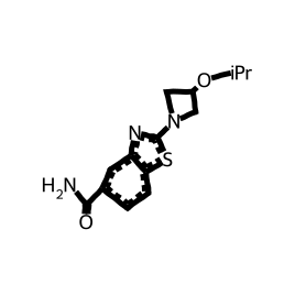 CC(C)OC1CN(c2nc3cc(C(N)=O)ccc3s2)C1